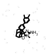 Cc1ccc(-c2cccc(C3(C45CC6CC(CC(C6)C4)C5)N=C(N)N(C)C3=O)c2)cc1C